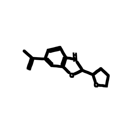 C=C(C)c1ccc2c(c1)OC(C1CCCO1)N2